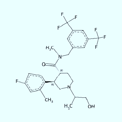 Cc1cc(F)ccc1[C@@H]1CN(C(C)CO)CC[C@H]1C(=O)N(C)Cc1cc(C(F)(F)F)cc(C(F)(F)F)c1